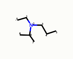 [CH2]CN(CCC)C(C)C